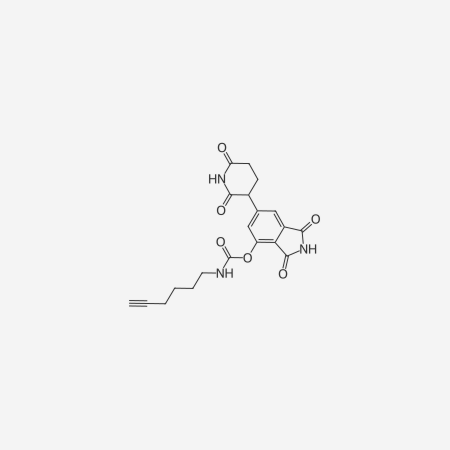 C#CCCCCNC(=O)Oc1cc(C2CCC(=O)NC2=O)cc2c1C(=O)NC2=O